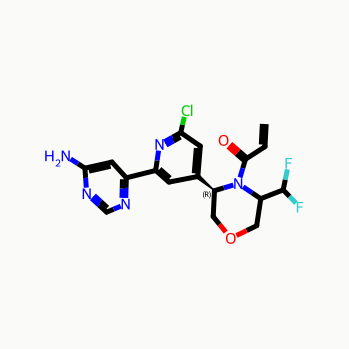 C=CC(=O)N1C(C(F)F)COC[C@H]1c1cc(Cl)nc(-c2cc(N)ncn2)c1